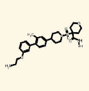 Cc1cc(C2CCN(S(=O)(=O)C3(C(=O)NO)CCOCC3)CC2)ccc1-c1cccc(OCCN)c1